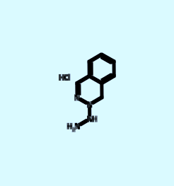 Cl.NNN1Cc2ccccc2C=N1